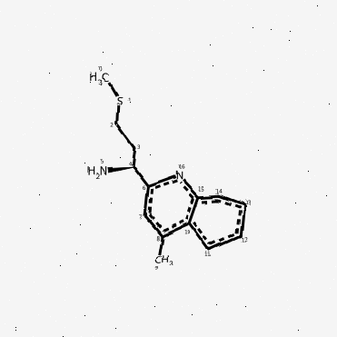 CSCC[C@H](N)c1cc(C)c2ccccc2n1